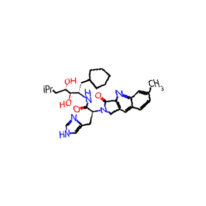 Cc1ccc2cc3c(nc2c1)C(=O)N([C@@H](Cc1c[nH]cn1)C(=O)N[C@@H](CC1CCCCC1)[C@@H](O)[C@@H](O)CC(C)C)C3